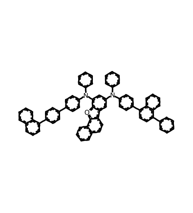 c1ccc(-c2ccc(-c3ccc(N(c4ccccc4)c4cc(N(c5ccccc5)c5ccc(-c6ccc(-c7cccc8ccccc78)cc6)cc5)c5oc6c7ccccc7ccc6c5c4)cc3)c3ccccc23)cc1